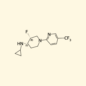 F[C@@H]1CN(c2ccc(C(F)(F)F)cn2)CC[C@@H]1NC1CC1